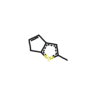 Cc1cc2c(s1)CC=C2